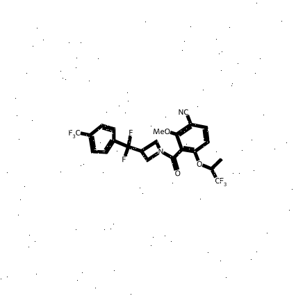 COc1c(C#N)ccc(OC(C)C(F)(F)F)c1C(=O)N1CC(C(F)(F)c2ccc(C(F)(F)F)cc2)C1